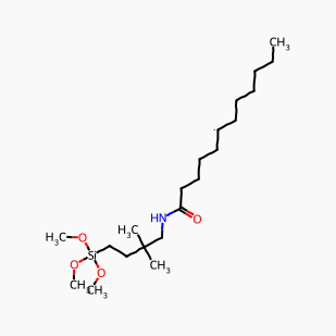 CCCCCC[CH]CCCCC(=O)NCC(C)(C)CC[Si](OC)(OC)OC